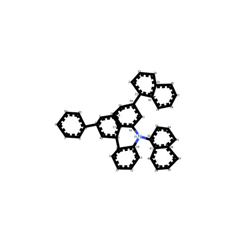 c1ccc(-c2cccc(-c3ccccc3N(c3cccc(-c4cccc5ccccc45)c3)c3cccc4ccccc34)c2)cc1